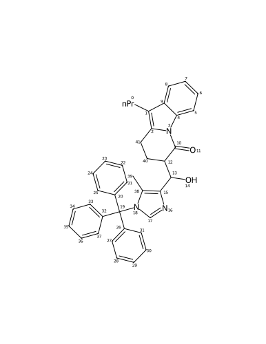 CCCc1c2n(c3ccccc13)C(=O)C(C(O)c1ncn(C(c3ccccc3)(c3ccccc3)c3ccccc3)c1C)CC2